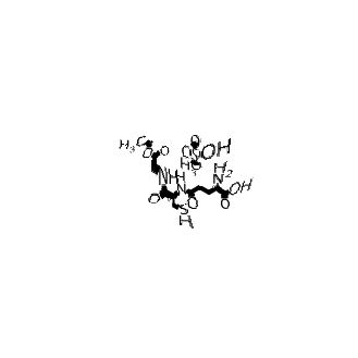 CCOC(=O)CNC(=O)[C@H](CS)NC(=O)CC[C@H](N)C(=O)O.CS(=O)(=O)O